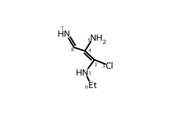 CCN/C(Cl)=C(/N)C=N